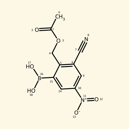 CC(=O)OCc1c(C#N)cc([N+](=O)[O-])cc1B(O)O